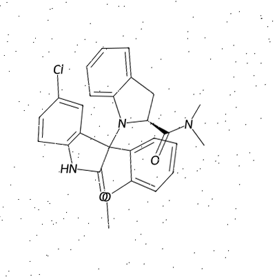 COc1ccccc1C1(N2c3ccccc3C[C@H]2C(=O)N(C)C)C(=O)Nc2ccc(Cl)cc21